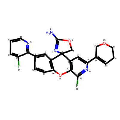 NC1=NC2(CO1)c1cc(-c3ncccc3F)ccc1Oc1c2cc(C2=CCCOC2)nc1F